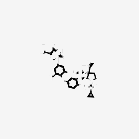 O=c1[nH]c(=O)n(-c2cc(Cl)c(Oc3ccc(O)c(S(=O)(=O)N[C@]4(C5=CS5)CCN(S(=O)(=O)C5CC5)C4)c3)c(Cl)c2)nc1C(F)F